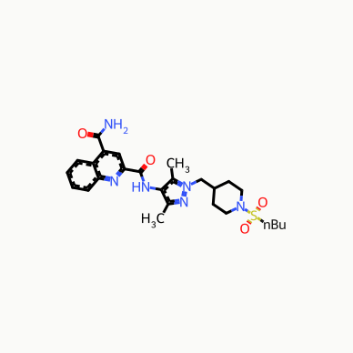 CCCCS(=O)(=O)N1CCC(Cn2nc(C)c(NC(=O)c3cc(C(N)=O)c4ccccc4n3)c2C)CC1